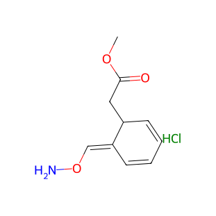 COC(=O)CC1C=CC=C/C1=C\ON.Cl